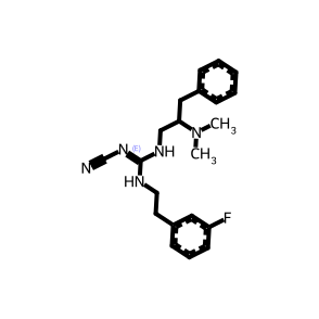 CN(C)C(CN/C(=N/C#N)NCCc1cccc(F)c1)Cc1ccccc1